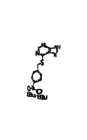 CC(C)(C)OB(OC(C)(C)C)c1ccc(CSc2ncnc3[nH]cnc23)cc1